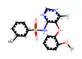 CCOc1ccccc1Oc1c(Cl)ncnc1NS(=O)(=O)c1cccc(C(C)(C)C)c1